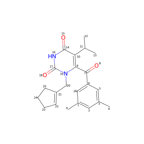 Cc1cc(C)cc(C(=O)c2c(C(C)C)c(=O)[nH]c(=O)n2CC2=CCCC2)c1